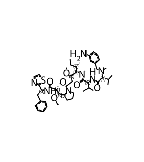 CC[C@H](C)[C@@H]([C@@H](CC(=O)N1CCC[C@H]1[C@H](OC)[C@@H](C)C(=O)N[C@@H](Cc1ccccc1)c1nccs1)OC)N(C)C(=O)[C@@H](NC(=O)[C@H](C(C)C)N(C)Cc1cccc(N)c1)C(C)C